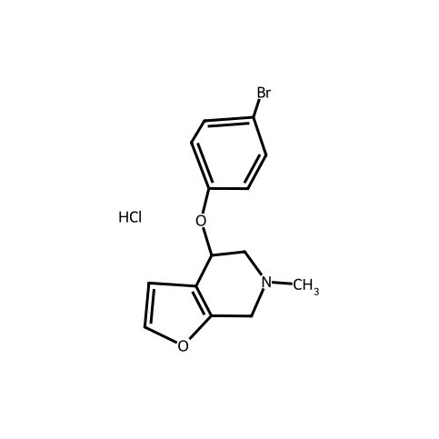 CN1Cc2occc2C(Oc2ccc(Br)cc2)C1.Cl